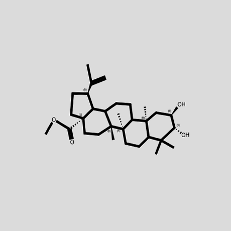 C=C(C)[C@@H]1CC[C@]2(C(=O)OC)CC[C@]3(C)C(CCC4[C@@]5(C)C[C@@H](O)[C@H](O)C(C)(C)C5CC[C@]43C)C12